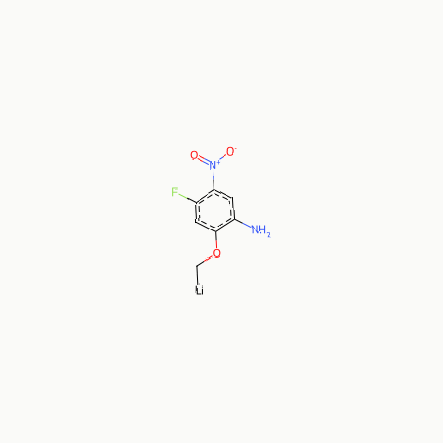 [Li][CH2]Oc1cc(F)c([N+](=O)[O-])cc1N